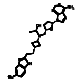 CC(O)N(C[C@@H]1CC[C@H](n2cnc3c(N)ncnc32)O1)[C@H]1C[C@@H](CCc2nc3cc(C(C)(C)C)ccc3[nH]2)C1